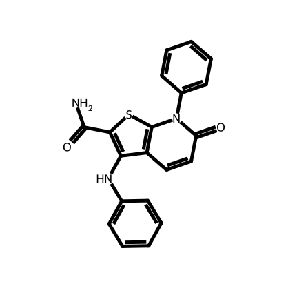 NC(=O)c1sc2c(ccc(=O)n2-c2ccccc2)c1Nc1ccccc1